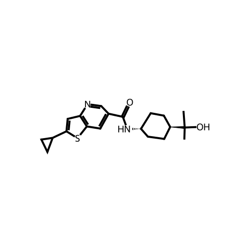 CC(C)(O)[C@H]1CC[C@H](NC(=O)c2cnc3cc(C4CC4)sc3c2)CC1